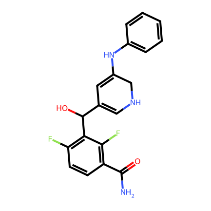 NC(=O)c1ccc(F)c(C(O)C2=CNCC(Nc3ccccc3)=C2)c1F